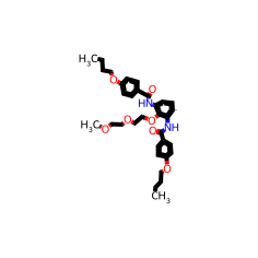 CCCCOc1ccc(C(=O)Nc2[c]ccc(NC(=O)c3ccc(OCCCC)cc3)c2OCCOCCOC)cc1